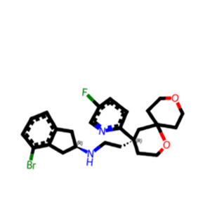 Fc1ccc([C@]2(CCN[C@@H]3Cc4cccc(Br)c4C3)CCOC3(CCOCC3)C2)nc1